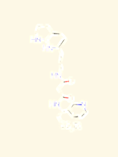 CCOC(=O)C[C@H](NC(=O)CC(=O)NCCCC1=CC=C2CCCNC2N1)c1cccnc1